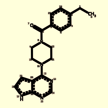 CCc1ccc(C(=O)N2CCN(c3ncnc4[nH]ccc34)CC2)cc1